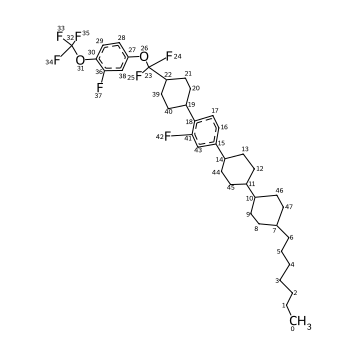 CCCCCCCC1CCC(C2CCC(c3ccc(C4CCC(C(F)(F)Oc5ccc(OC(F)(F)F)c(F)c5)CC4)c(F)c3)CC2)CC1